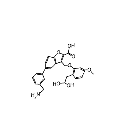 COc1ccc(CC(O)O)c(OCc2c(C(=O)O)oc3ccc(-c4cccc(CN)c4)cc23)c1